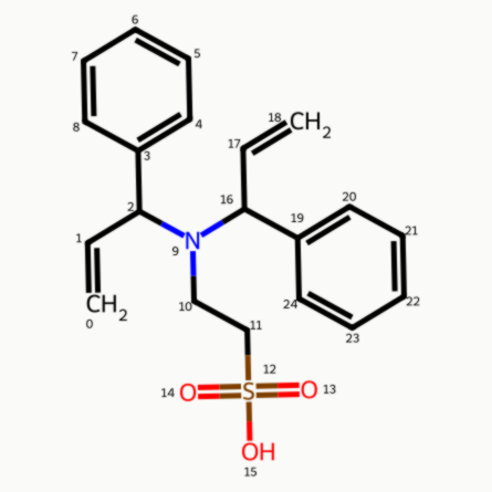 C=CC(c1ccccc1)N(CCS(=O)(=O)O)C(C=C)c1ccccc1